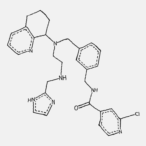 O=C(NCc1cccc(CN(CCNCc2ncc[nH]2)C2CCCc3cccnc32)c1)c1ccnc(Cl)c1